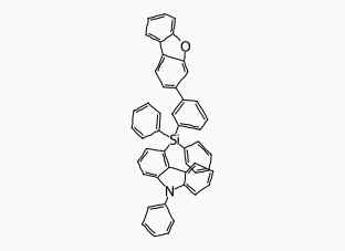 c1ccc(-n2c3ccccc3c3c([Si](c4ccccc4)(c4ccccc4)c4cccc(-c5ccc6c(c5)oc5ccccc56)c4)cccc32)cc1